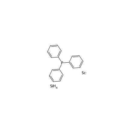 [Sc].[SiH4].c1ccc(P(c2ccccc2)c2ccccc2)cc1